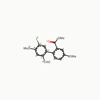 COC(=O)c1cc(OC)ccc1-c1cc(F)c(OC)cc1C=O